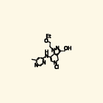 CCOCCn1nc(CO)c2c1C(Nc1cc(C)ncn1)=CN(Cl)C2